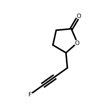 O=C1CCC(CC#CF)O1